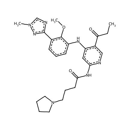 CCC(=O)c1cnc(NC(=O)CCCN2CCCC2)cc1Nc1cccc(-c2ncn(C)n2)c1OC